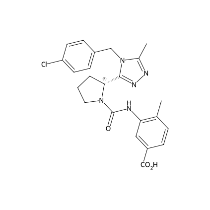 Cc1ccc(C(=O)O)cc1NC(=O)N1CCC[C@@H]1c1nnc(C)n1Cc1ccc(Cl)cc1